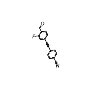 N#Cc1ccc(C#Cc2ccc(C=O)c(F)c2)cc1